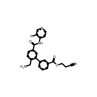 N#CCCOC(=O)c1cccc(-c2cc(C(=O)Nc3ccncc3F)ccc2CN)c1